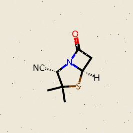 CC1(C)S[C@@H]2CC(=O)N2[C@H]1C#N